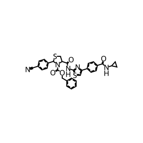 N#Cc1ccc(C2SCC(C(=O)Nc3nc(-c4ccc(C(=O)NC5CC5)cc4)cs3)N2C(=O)OCc2ccccc2)cc1